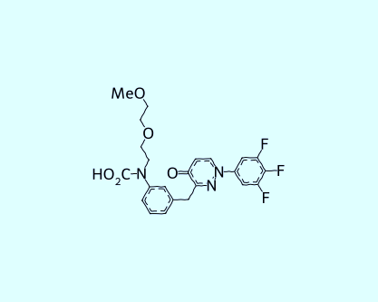 COCCOCCN(C(=O)O)c1cccc(Cc2nn(-c3cc(F)c(F)c(F)c3)ccc2=O)c1